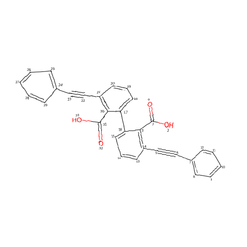 O=C(O)c1c(C#Cc2ccccc2)cccc1-c1cccc(C#Cc2ccccc2)c1C(=O)O